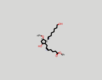 CCCO[C@@H]1C[C@H](O)C(C/C=C\CCCC(=O)OC(C)C)[C@H]1/C=C/CCCCCCO